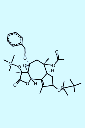 CC(=O)O[C@@]1(C)C[C@@H](OCc2ccccc2)[C@@]2(O)[C@@H](OC(=O)[C@@]2(C)O[Si](C)(C)C)C2=C(C)C(O[Si](C)(C)C(C)(C)C)C[C@@H]21